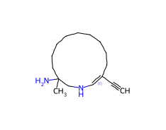 C#C/C1=C/NCC(C)(N)CCCCCCCCC1